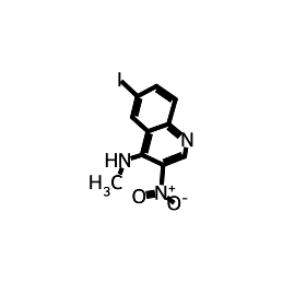 CNc1c([N+](=O)[O-])cnc2ccc(I)cc12